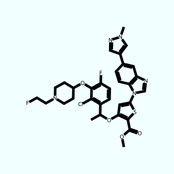 COC(=O)c1sc(-n2cnc3cc(-c4cnn(C)c4)ccc32)cc1OC(C)c1ccc(F)c(OC2CCN(CCF)CC2)c1Cl